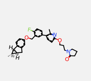 Cc1nc(OCCCN2CCCC2=O)ccc1-c1ccc(F)c(COc2ccc3c(c2)C[C@H]2[C@H](C)[C@@H]32)c1